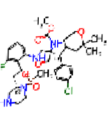 COC(=O)NC(C=O)(CNc1cccc(F)c1CC[C@H]1CNCCN1S(C)(=O)=O)[C@@H](c1ccc(Cl)cc1)C1CCOC(C)(C)C1